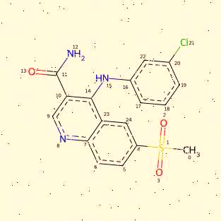 CS(=O)(=O)c1ccc2ncc(C(N)=O)c(Nc3cccc(Cl)c3)c2c1